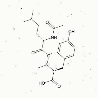 CC(=O)N[C@@H](CCC(C)C)C(=O)ON(C)[C@@H](Cc1ccc(O)cc1)C(=O)O